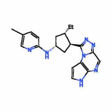 CC[C@H]1C[C@@H](Nc2ccc(C)cn2)C[C@@H]1c1nnc2cnc3[nH]ccc3n12